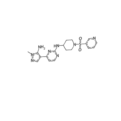 Cn1ncc(-c2ccnc(NC3CCN(S(=O)(=O)c4cccnc4)CC3)n2)c1N